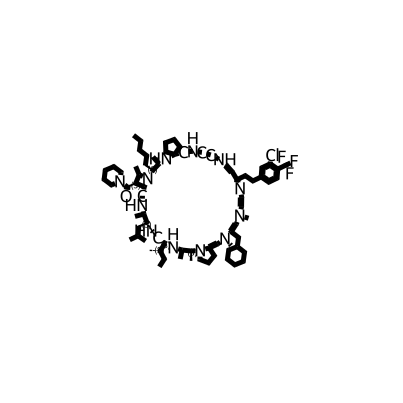 CCCCC[C@H]1C(C)NC2(CCCC2)CNCCNC=CC(CCc2ccc(C(F)(F)F)c(Cl)c2)=NC=CN(C)C=C(CC2CCCCC2)N(C)C=C2CCCN2[C@@H](C)C(C)N[C@@H]([C@@H](C)CC)CN[C@@H](CC(C)C)C(C)NCC2[C@@H](C(=O)N3CCCCC3)C(C)N21